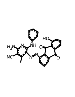 Cc1c(C#N)c(N)nc(Nc2ccccc2)c1/N=N/c1cccc2c1C(=O)c1c(O)cccc1C2=O